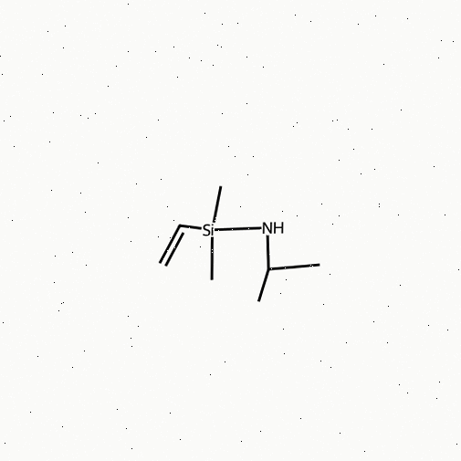 C=C[Si](C)(C)NC(C)C